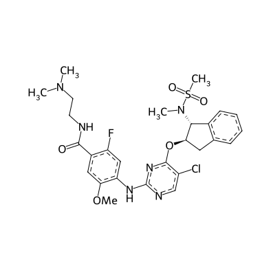 COc1cc(C(=O)NCCN(C)C)c(F)cc1Nc1ncc(Cl)c(O[C@@H]2Cc3ccccc3[C@H]2N(C)S(C)(=O)=O)n1